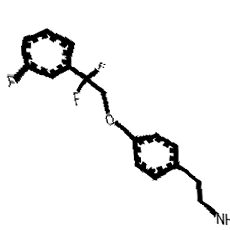 NCCc1ccc(OCC(F)(F)c2cccc(F)c2)cc1